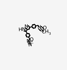 CN1CCN(Cc2ccc(-c3cnc4[nH]cc(-c5ccc(C(=O)N=[N+]=[N-])cc5)c4c3)cc2)CC1=O